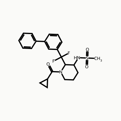 CS(=O)(=O)NC1CCCN(C(=O)C2CC2)C1C(F)(F)c1cccc(-c2ccccc2)c1